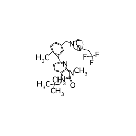 Cc1ccc(CN2CC3CCC2CN3CC(F)(F)F)cc1-c1ccc2c(n1)n(C)c(=O)n2CC(C)(C)C